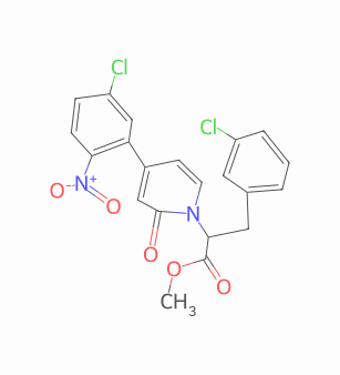 COC(=O)C(Cc1cccc(Cl)c1)n1ccc(-c2cc(Cl)ccc2[N+](=O)[O-])cc1=O